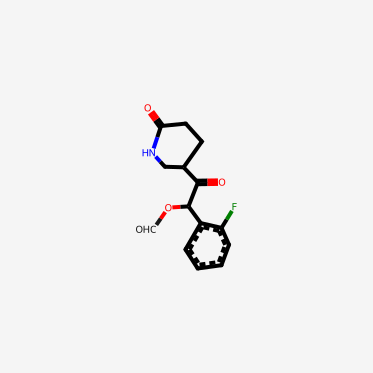 O=COC(C(=O)C1CCC(=O)NC1)c1ccccc1F